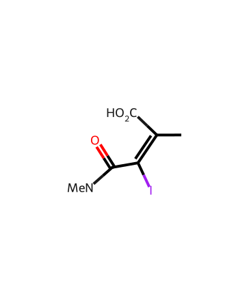 CNC(=O)/C(I)=C(/C)C(=O)O